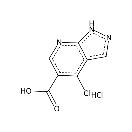 Cl.O=C(O)c1cnc2[nH]ncc2c1Cl